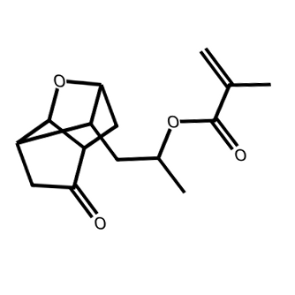 C=C(C)C(=O)OC(C)CC1C2CC3C(=O)CC1C3O2